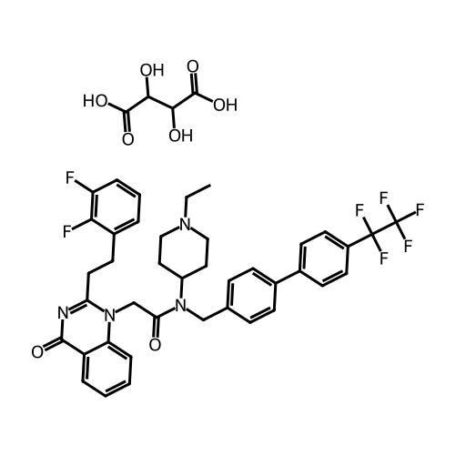 CCN1CCC(N(Cc2ccc(-c3ccc(C(F)(F)C(F)(F)F)cc3)cc2)C(=O)Cn2c(CCc3cccc(F)c3F)nc(=O)c3ccccc32)CC1.O=C(O)C(O)C(O)C(=O)O